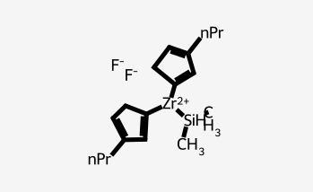 CCCC1=CC[C]([Zr+2]([C]2=CC(CCC)=CC2)[SiH](C)C)=C1.[F-].[F-]